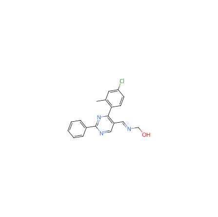 Cc1cc(Cl)ccc1-c1nc(-c2ccccc2)ncc1/C=N/CO